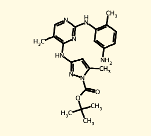 Cc1ccc(N)cc1Nc1ncc(C)c(Nc2cc(C)n(C(=O)OC(C)(C)C)n2)n1